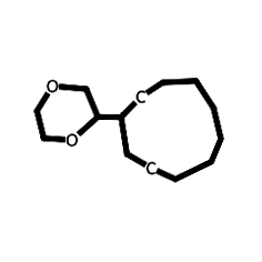 C1CCCC[C](C2COCCO2)CCCC1